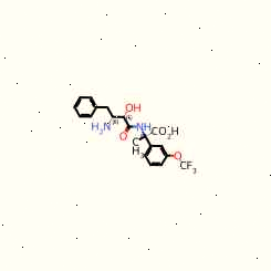 C[C@](NC(=O)[C@@H](O)[C@H](N)Cc1ccccc1)(C(=O)O)c1cccc(OC(F)(F)F)c1